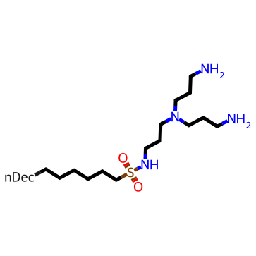 CCCCCCCCCCCCCCCCS(=O)(=O)NCCCN(CCCN)CCCN